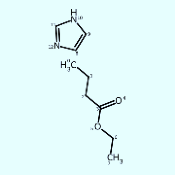 CCCC(=O)OCC.c1c[nH]cn1